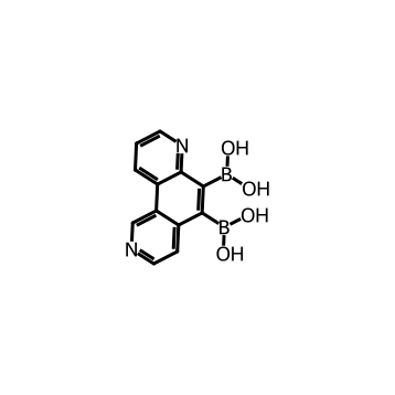 OB(O)c1c(B(O)O)c2ncccc2c2cnccc12